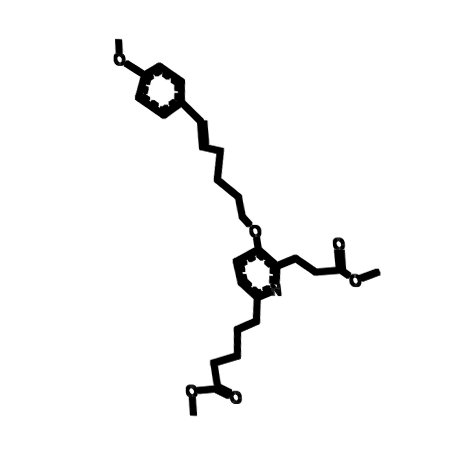 COC(=O)CCCCc1ccc(OCCCC/C=C/c2ccc(OC)cc2)c(CCC(=O)OC)n1